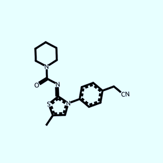 Cc1cn(-c2ccc(CC#N)cc2)c(=NC(=O)N2CCCCC2)s1